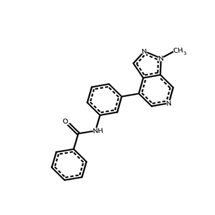 Cn1ncc2c(-c3cccc(NC(=O)c4ccccc4)c3)cncc21